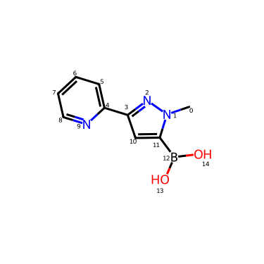 Cn1nc(-c2ccccn2)cc1B(O)O